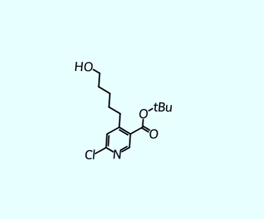 CC(C)(C)OC(=O)c1cnc(Cl)cc1CCCCCO